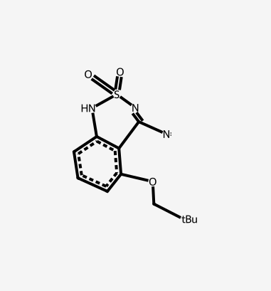 CC(C)(C)COc1cccc2c1C([N])=NS(=O)(=O)N2